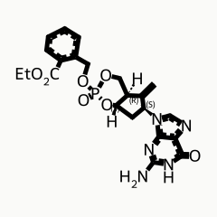 C=C1[C@@H]2COP(=O)(OCc3ccccc3C(=O)OCC)O[C@H]2C[C@@H]1n1cnc2c(=O)[nH]c(N)nc21